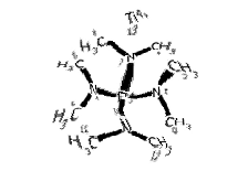 CN(C)[P+](N(C)C)(N(C)C)N(C)C.[Ti+4]